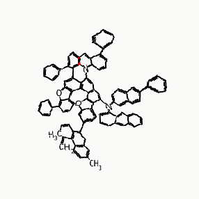 C=CC1=C(/C=C\C)C(c2ccc3c(c2)oc2c3c(N(c3ccc4cc(-c5ccccc5)ccc4c3)c3cccc4cc5ccccc5cc34)cc3cc(N4C=CC=C5C(c6ccccc6)=CC=CC54)c4c(-c5ccccc5-c5ccccc5)cc5oc6c(-c7ccccc7)cccc6c5c4c32)Cc2cc(C)ccc21